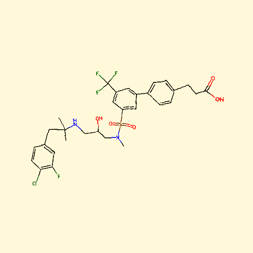 CN(CC(O)CNC(C)(C)Cc1ccc(Cl)c(F)c1)S(=O)(=O)c1cc(-c2ccc(CCC(=O)O)cc2)cc(C(F)(F)F)c1